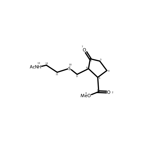 COC(=O)C1CCC(=O)C1CSCCNC(C)=O